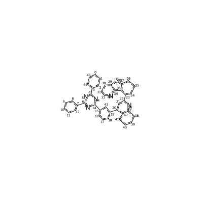 c1ccc(-c2nc(-c3ccccc3)nc(-c3cccc(-c4cc(-c5cccc6sc7cccnc7c56)nc5ccccc45)c3)n2)cc1